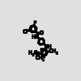 Cc1cnc(N(C)C)nc1NC1CCC(NC(=O)c2cc(F)cc(Cl)c2)CC1